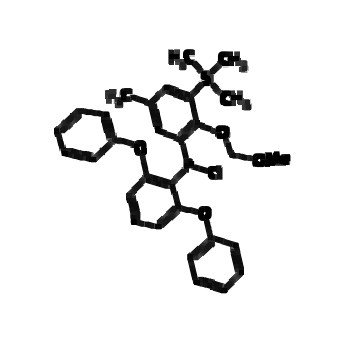 COCOc1c(P(Cl)c2c(Oc3ccccc3)cccc2Oc2ccccc2)cc(C(F)(F)F)cc1[Si](C)(C)C